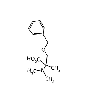 CN(C)C(C)(COCc1ccccc1)C(=O)O